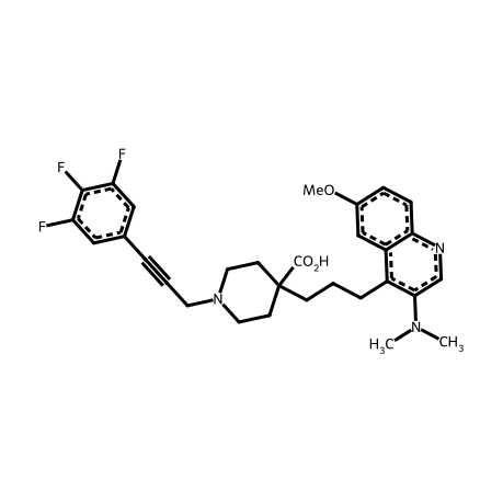 COc1ccc2ncc(N(C)C)c(CCCC3(C(=O)O)CCN(CC#Cc4cc(F)c(F)c(F)c4)CC3)c2c1